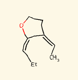 C/C=C1/CCO/C1=C/CC